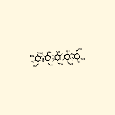 CC(=O)N[C@H]1[C@@H](O[C@H]2[C@@H](O)[C@@H](CO)O[C@@H](O[C@H]3[C@@H](O)[C@@H](CO)O[C@H](O[C@H]4[C@@H](O)[C@@H](CO)O[C@@H](O[C@H]5[C@H](O)[C@@H](O)[C@H](O)O[C@@H]5CO)[C@@H]4O)[C@@H]3O)[C@@H]2NC(C)=O)O[C@H](CO)[C@H](O)[C@@H]1O